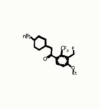 CCCC1CCC(CC(=O)c2ccc(OCC)c(CF)c2C(F)(F)F)CC1